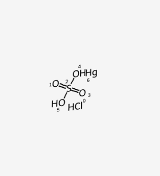 Cl.O=S(=O)(O)O.[Hg]